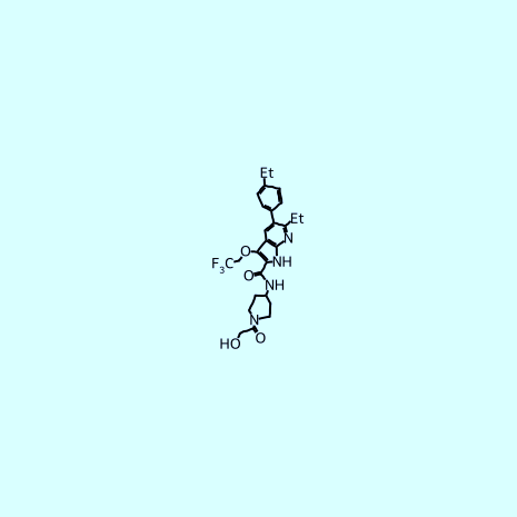 CCc1ccc(-c2cc3c(OCC(F)(F)F)c(C(=O)NC4CCN(C(=O)CO)CC4)[nH]c3nc2CC)cc1